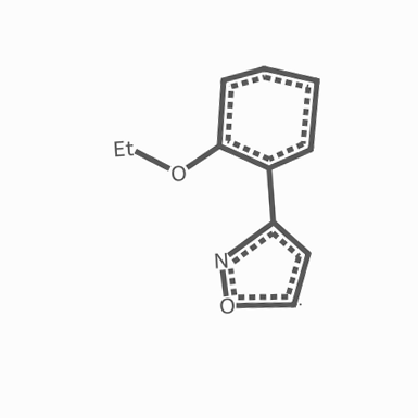 CCOc1ccccc1-c1c[c]on1